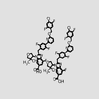 CC1(C)COCC1n1c(Cc2cc(F)c(-c3cccc(OCc4cc(F)c(Cl)cc4F)n3)cc2F)nc2c(F)cc(C(=O)O)cc21.CC1(C)COCC1n1c(Cc2cc(F)c(-c3cccc(OCc4cc(F)c(Cl)cc4F)n3)cc2F)nc2c(F)cc(C(=O)O)cc21